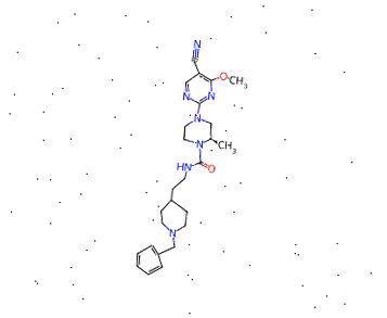 COc1nc(N2CCN(C(=O)NCCC3CCN(Cc4ccccc4)CC3)[C@H](C)C2)ncc1C#N